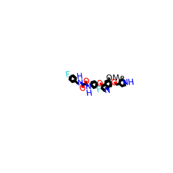 COc1cc2c(Oc3ccc(NC(=O)C(=O)NCc4ccc(F)cc4)cc3F)ccnc2cc1OCC1CCNCC1